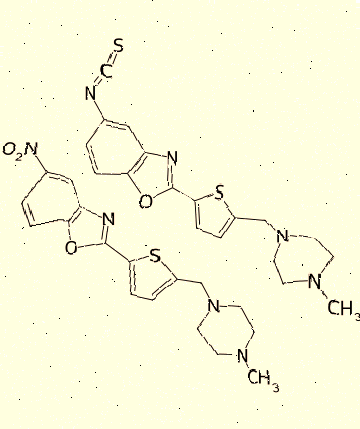 CN1CCN(Cc2ccc(-c3nc4cc(N=C=S)ccc4o3)s2)CC1.CN1CCN(Cc2ccc(-c3nc4cc([N+](=O)[O-])ccc4o3)s2)CC1